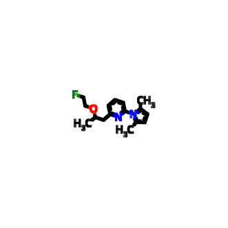 Cc1ccc(C)n1-c1cccc(CC(C)OCCF)n1